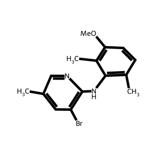 COc1ccc(C)c(Nc2ncc(C)cc2Br)c1C